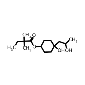 CCC(C)(C)C(=O)OC1CCC(O)(CC(C)O)CC1